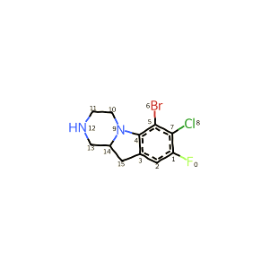 Fc1cc2c(c(Br)c1Cl)N1CCNCC1C2